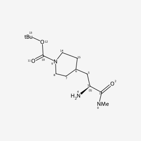 CNC(=O)[C@@H](N)CC1CCN(C(=O)OC(C)(C)C)CC1